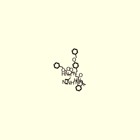 CC(CNC(=O)CN(Cc1ccc(OCc2ccccc2)cc1)C(=O)[C@H](Cc1cnc[nH]1)NC(=O)OCc1ccccc1)c1ccccc1N